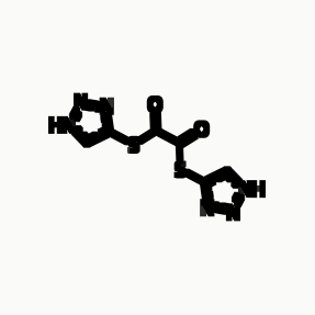 O=C(Sc1c[nH]nn1)C(=O)Sc1c[nH]nn1